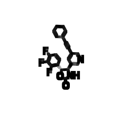 O=C1N[C@H](c2cncc(C#Cc3ccccc3)c2)[C@@H](c2ccc(F)c(F)c2F)O1